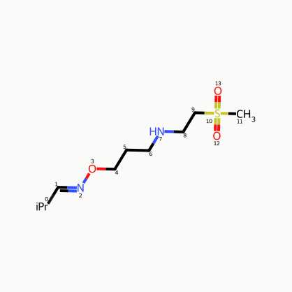 CC(C)/C=N/OCCCNCCS(C)(=O)=O